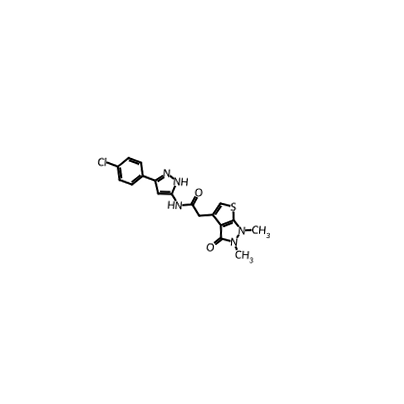 Cn1c(=O)c2c(CC(=O)Nc3cc(-c4ccc(Cl)cc4)n[nH]3)csc2n1C